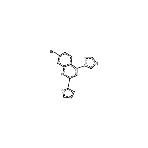 Brc1ccc2c(-n3ccnc3)cc(-c3cccs3)nc2c1